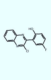 Oc1ccc(F)cc1-c1nc2ccccc2nc1Cl